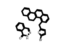 Brc1ccc(Cc2cccc3ccc4c(c23)CCC2=C4C=CCC2)s1.O=c1[nH]ncc2ccccc12